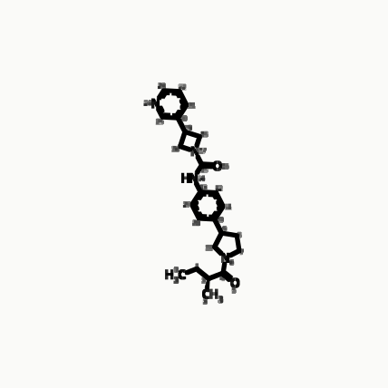 CC[C@H](C)C(=O)N1CCC(c2ccc(NC(=O)N3CC(c4cccnc4)C3)cc2)C1